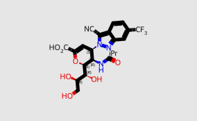 CC(C)C(=O)N[C@H]1[C@H]([C@H](O)[C@H](O)CO)OC(C(=O)O)=C[C@@H]1n1nc2cc(C(F)(F)F)ccc2c1C#N